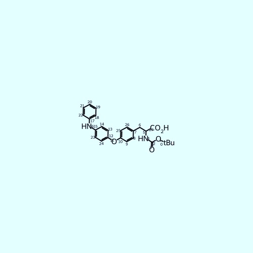 CC(C)(C)OC(=O)NC(Cc1ccc(Oc2ccc(Nc3ccccc3)cc2)cc1)C(=O)O